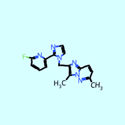 Cc1ccc2nc(Cn3ccnc3-c3cccc(F)n3)c(C)n2n1